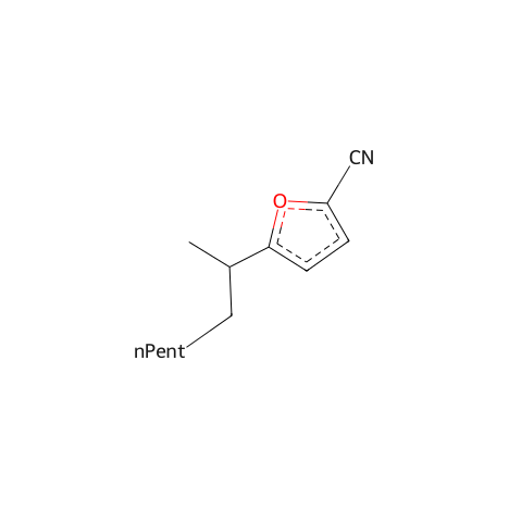 CCCCCCC(C)c1ccc(C#N)o1